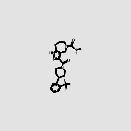 CNC(=O)N1CCCc2[nH]nc(C(=O)N3CCC(c4ccccc4C(F)(F)F)CC3)c2C1